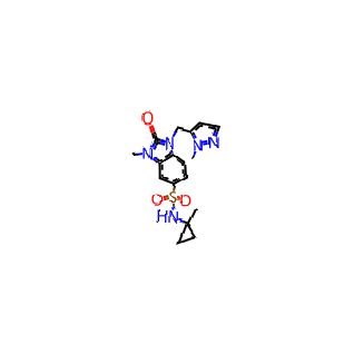 Cn1nccc1Cn1c(=O)n(C)c2cc(S(=O)(=O)NC3(C)CC3)ccc21